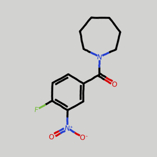 O=C(c1ccc(F)c([N+](=O)[O-])c1)N1CCCCCC1